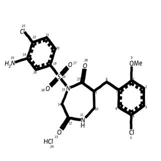 COc1ccc(Cl)cc1CC1CNC(=O)CN(S(=O)(=O)c2ccc(Cl)c(N)c2)C1=O.Cl